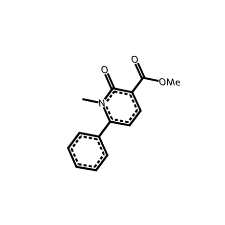 COC(=O)c1ccc(-c2ccccc2)n(C)c1=O